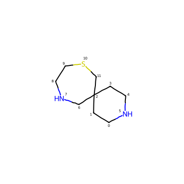 C1CC2(CCN1)CNCCSC2